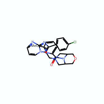 COc1cccc(C(=O)N2C3COCC2CN(Cc2c(-c4ccc(Cl)cc4)nc4ncccn24)C3)n1